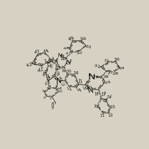 Cc1ccc2c3ccccc3n(-c3ccc(-c4nc(-c5ccccc5)cc(-c5ccccc5)n4)cc3-c3cc(-c4ccccc4)nc(-c4ccccc4)n3)c2c1